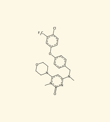 CN(Cc1ccc(Oc2ccc(Cl)c(C(F)(F)F)c2)cc1)c1cc(N2CCOCC2)n(C)c(=O)n1